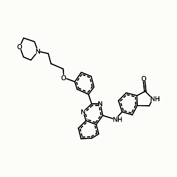 O=C1NCc2cc(Nc3nc(-c4cccc(OCCCN5CCOCC5)c4)nc4ccccc34)ccc21